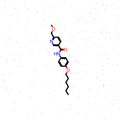 CCCCCCOc1ccc(NC(=O)c2ccc(COC)nc2)cc1